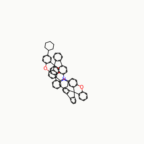 c1ccc(-c2ccccc2N(c2ccc3c(c2)C2(c4ccccc4O3)c3ccccc3-c3ccccc32)c2ccc3c(c2)C2(c4cc(C5CCCCC5)ccc4Oc4ccc(C5CCCCC5)cc42)c2ccccc2-3)cc1